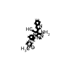 C#Cc1c(-c2cnc3ccccc3c2)c2c(N)ncnc2n1C12CCC(N3CCN(C)C(=O)C3)(CC1)C2